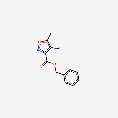 Cc1onc(C(=O)OCc2ccccc2)c1I